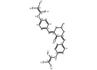 CC1C/C(=C/c2ccc(OC(F)=C(F)F)cc2)C(=O)/C(=C/c2ccc(OC(F)=C(F)F)cc2)C1